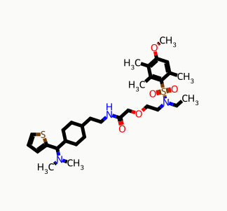 CCN(CCOCC(=O)NCCC1CCC(C(c2cccs2)N(C)C)CC1)S(=O)(=O)c1c(C)cc(OC)c(C)c1C